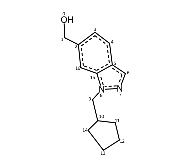 OCc1ccc2cnn(CC3CCCC3)c2c1